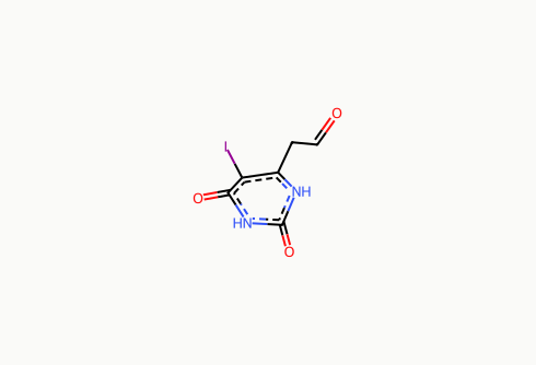 O=CCc1[nH]c(=O)[nH]c(=O)c1I